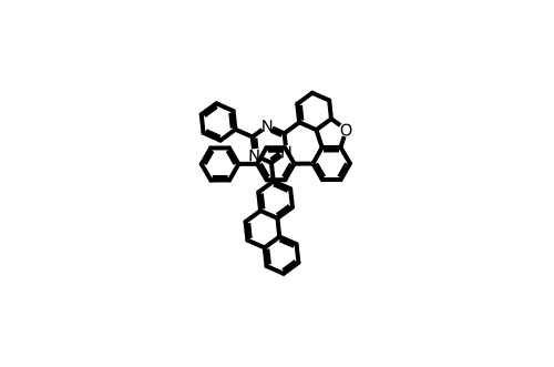 C1=C(c2nc(-c3ccccc3)nc(-c3ccc4c(ccc5ccccc54)c3)n2)C2c3c(cccc3-c3ccc(-c4ccccc4)cc3)OC2CC1